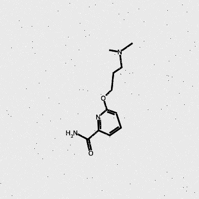 CN(C)CCCOc1cc[c]c(C(N)=O)n1